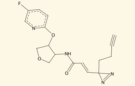 C#CCCC1(C=CC(=O)NC2COCC2Oc2ccc(F)cn2)N=N1